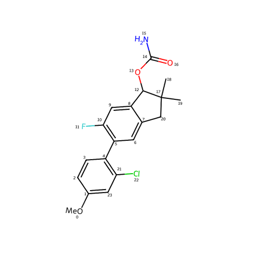 COc1ccc(-c2cc3c(cc2F)C(OC(N)=O)C(C)(C)C3)c(Cl)c1